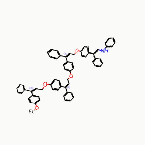 CCOc1ccc(/C(=C\COc2ccc(/C(=C\COc3ccc(/C(=C\COc4ccc(C(=CNc5ccccc5)c5ccccc5)cc4)c4ccccc4)cc3)c3ccccc3)cc2)c2ccccc2)cc1